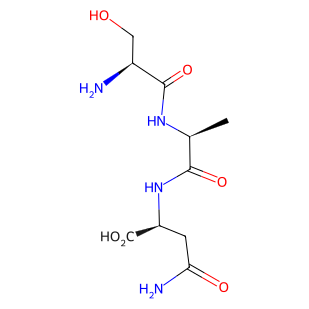 C[C@H](NC(=O)[C@@H](N)CO)C(=O)N[C@@H](CC(N)=O)C(=O)O